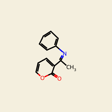 CC(=Nc1ccccc1)c1cccoc1=O